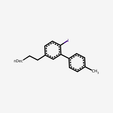 CCCCCCCCCCCCc1ccc(I)c(-c2ccc(C)cc2)c1